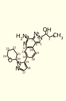 CCC(O)n1cc2c(n1)c(N)nc1cc(-c3ccnn3C3CCCCO3)ccc12